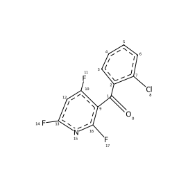 O=C(c1ccccc1Cl)c1c(F)cc(F)nc1F